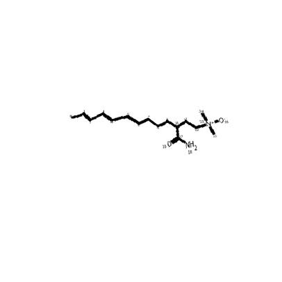 CCCCCCCCCCC(CC[N+](C)(C)[O-])C(N)=O